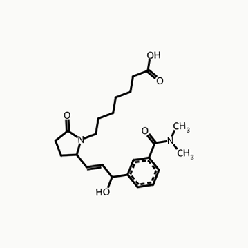 CN(C)C(=O)c1cccc(C(O)C=CC2CCC(=O)N2CCCCCCC(=O)O)c1